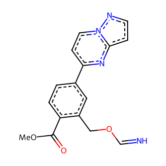 COC(=O)c1ccc(-c2ccn3nccc3n2)cc1COC=N